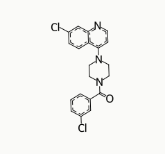 O=C(c1cccc(Cl)c1)N1CCN(c2ccnc3cc(Cl)ccc23)CC1